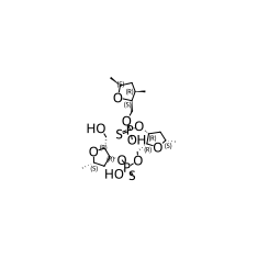 C[C@@H]1C[C@H](C)O[C@@H]1COP(O)(=S)O[C@@H]1C[C@H](C)O[C@@H]1COP(O)(=S)O[C@@H]1C[C@H](C)O[C@@H]1CO